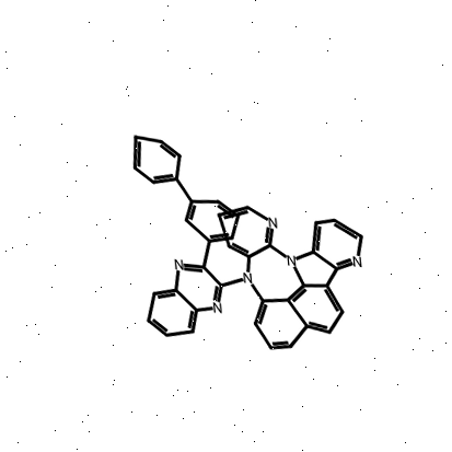 c1ccc(-c2cccc(-c3nc4ccccc4nc3-n3c4cccc5ccc6c7ncccc7n(c7ncccc73)c6c54)c2)cc1